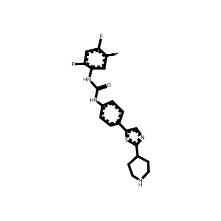 O=C(Nc1ccc(-c2cnc(C3CCNCC3)s2)cc1)Nc1cc(F)c(F)cc1F